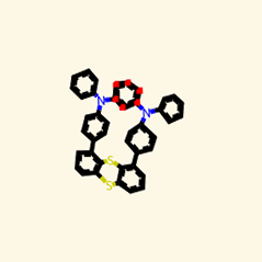 c1ccc(N(c2ccccc2)c2ccc(-c3cccc4c3Sc3c(cccc3-c3ccc(N(c5ccccc5)c5ccccc5)cc3)S4)cc2)cc1